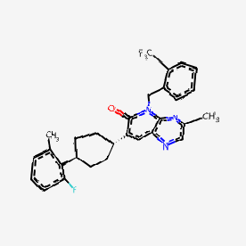 Cc1cnc2cc([C@H]3CC[C@H](c4c(C)cccc4F)CC3)c(=O)n(Cc3ccccc3C(F)(F)F)c2n1